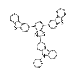 c1ccc(-n2c3ccccc3c3cc(-c4nc5c(-c6ccc7sc8ccccc8c7c6)ccc(-c6ccc7sc8ccccc8c7c6)c5s4)ccc32)cc1